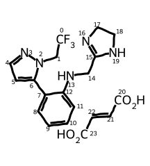 FC(F)(F)Cn1nccc1-c1ccccc1NCC1=NCCN1.O=C(O)/C=C/C(=O)O